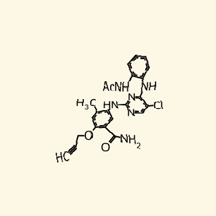 C#CCOc1cc(C)c(Nc2ncc(Cl)c(Nc3ccccc3NC(C)=O)n2)cc1C(N)=O